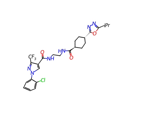 CC(C)c1nnc([C@H]2CC[C@H](C(=O)NCCNC(=O)c3cn(-c4ccccc4Cl)nc3C(F)(F)F)CC2)o1